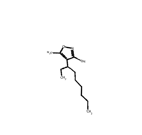 CCCCCCC(CC)c1c(O)noc1C